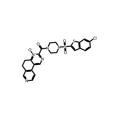 O=C(c1ncc2c([n+]1[O-])CCc1cnccc1-2)N1CCN(S(=O)(=O)c2cc3ccc(Cl)cc3s2)CC1